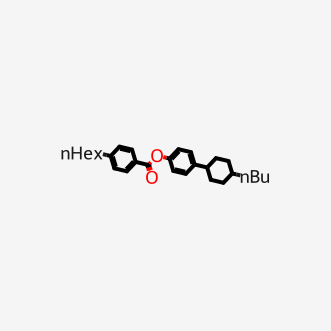 CCCCCCc1ccc(C(=O)Oc2ccc(C3CCC(CCCC)CC3)cc2)cc1